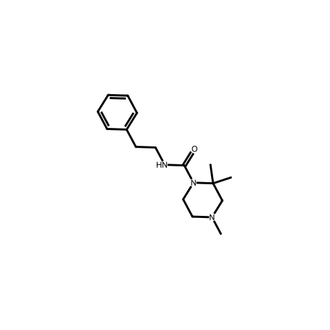 CN1CCN(C(=O)NCCc2ccccc2)C(C)(C)C1